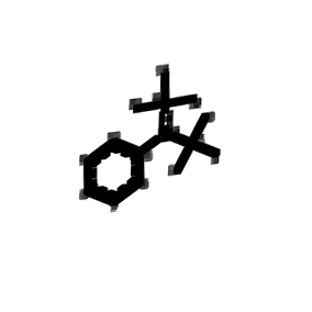 CC(C)(C)[SiH](c1cc[c]cc1)C(C)(C)C